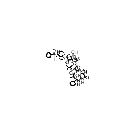 CO[C@@H]1[C@H](O[P@@](O)(=S)OC[C@H]2O[C@@H](n3cnc4c(=O)[nH]c(NC(=O)c5ccccc5)nc43)[C@H](OC(=O)C(C)C)[C@@H]2OC(=O)C(C)C)[C@@H](CO)O[C@H]1n1cnc2c(NC(=O)c3ccccc3)ncnc21